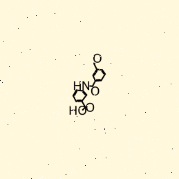 O=Cc1cccc(C(=O)Nc2cccc(C(=O)O)c2)c1